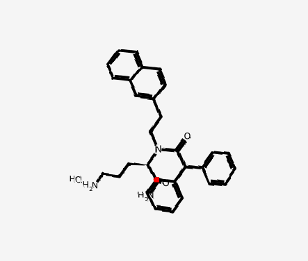 Cl.NCCC[C@H](C(N)=O)N(CCc1ccc2ccccc2c1)C(=O)C(c1ccccc1)c1ccccc1